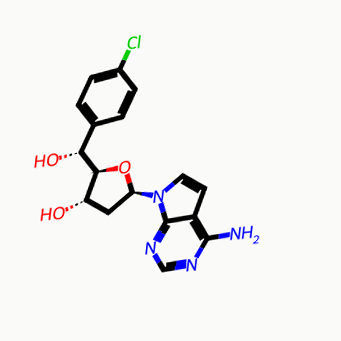 Nc1ncnc2c1ccn2[C@H]1C[C@H](O)[C@@H]([C@H](O)c2ccc(Cl)cc2)O1